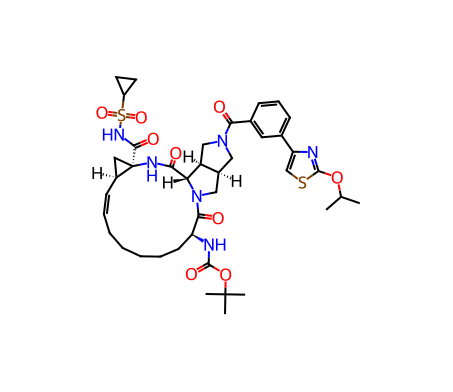 CC(C)Oc1nc(-c2cccc(C(=O)N3C[C@H]4CN5C(=O)[C@@H](NC(=O)OC(C)(C)C)CCCCC/C=C\[C@H]6C[C@@]6(C(=O)NS(=O)(=O)C6CC6)NC(=O)[C@@H]5[C@H]4C3)c2)cs1